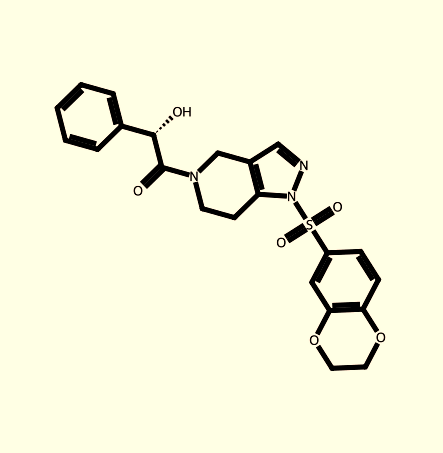 O=C([C@@H](O)c1ccccc1)N1CCc2c(cnn2S(=O)(=O)c2ccc3c(c2)OCCO3)C1